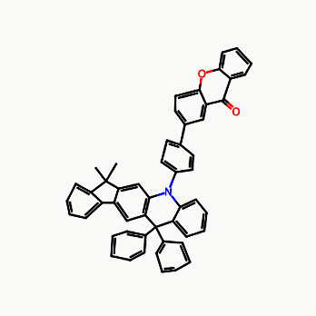 CC1(C)c2ccccc2-c2cc3c(cc21)N(c1ccc(-c2ccc4oc5ccccc5c(=O)c4c2)cc1)c1ccccc1C3(c1ccccc1)c1ccccc1